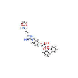 CC(C)(C)OC(=O)NCCCCNC(=N)N1Cc2ccc(OC[C@@H](O)C(=O)OC(c3ccccc3)c3ccccc3)cc2C1